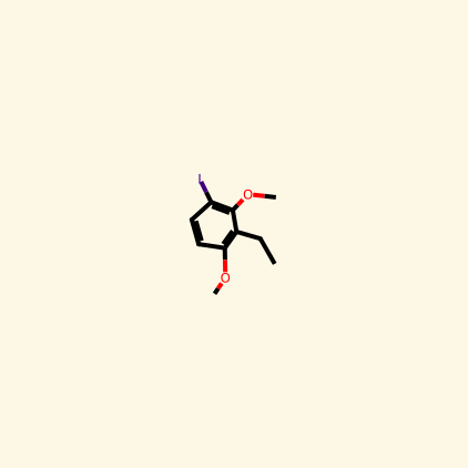 CCc1c(OC)ccc(I)c1OC